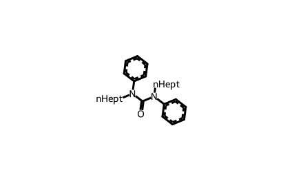 CCCCCCCN(C(=O)N(CCCCCCC)c1ccccc1)c1ccccc1